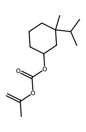 C=C(C)OC(=O)OC1CCCC(C)(C(C)C)C1